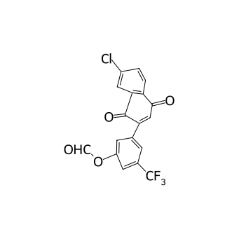 O=COc1cc(C2=CC(=O)c3ccc(Cl)cc3C2=O)cc(C(F)(F)F)c1